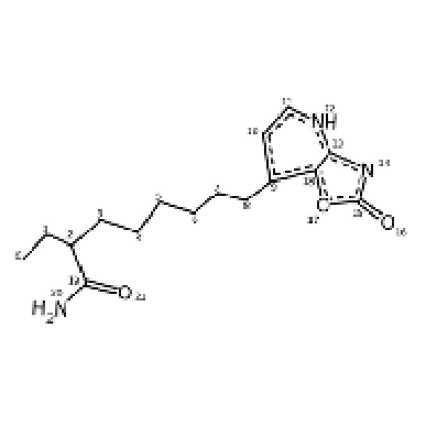 CCC(CCCCCCc1cc[nH]c2nc(=O)oc1-2)C(N)=O